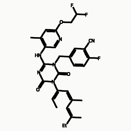 C\C=C(/C=C(C)\C=C(/C)CC)n1c(=O)nc(Nc2cnc(OCC(F)F)cc2C)n(Cc2ccc(F)c(C#N)c2)c1=O